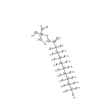 CO[Si](COC(=O)C(F)(F)C(F)(F)C(F)(F)C(F)(F)C(F)(F)C(F)(F)C(F)(F)C(F)(F)C(F)(F)F)(OC)OC